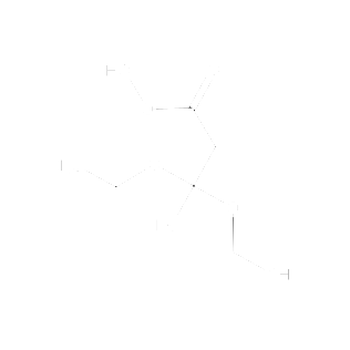 CCOC(C)(CC(=O)OO)OCC